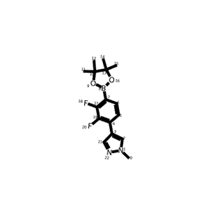 Cn1cc(-c2ccc(B3OC(C)(C)C(C)(C)O3)c(F)c2F)cn1